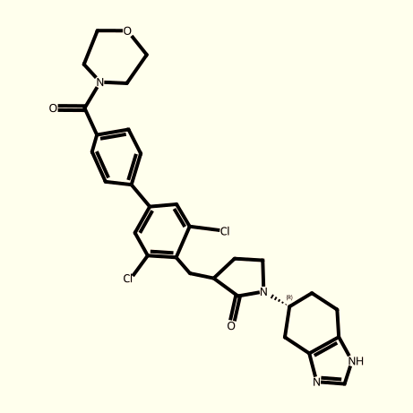 O=C(c1ccc(-c2cc(Cl)c(CC3CCN([C@@H]4CCc5[nH]cnc5C4)C3=O)c(Cl)c2)cc1)N1CCOCC1